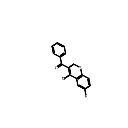 O=C(C1=C(Cl)c2cc(F)ccc2SC1)c1ccccc1